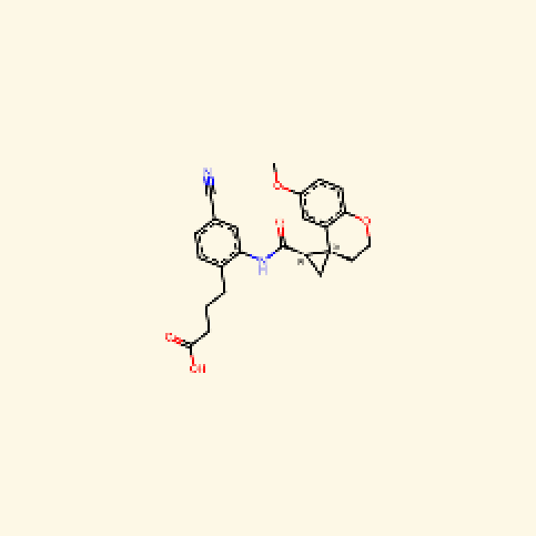 COc1ccc2c(c1)[C@]1(CCO2)C[C@H]1C(=O)Nc1cc(C#N)ccc1CCCC(=O)O